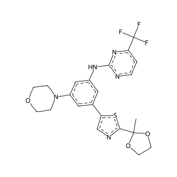 CC1(c2ncc(-c3cc(Nc4nccc(C(F)(F)F)n4)cc(N4CCOCC4)c3)s2)OCCO1